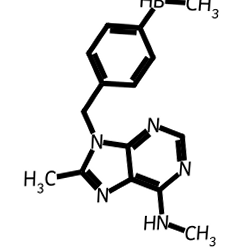 CBc1ccc(Cn2c(C)nc3c(NC)ncnc32)cc1